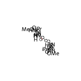 COC(=O)N[C@H](C(=O)C1CCN[C@H]1c1ncc(-c2ccc(-c3ccc4cc(-c5cnc([C@@H]6CCCN6C(=O)[C@H](NC(=O)OC)C(C)C)[nH]5)ccc4c3)c3c2C2CCC3CC2)[nH]1)C(C)C